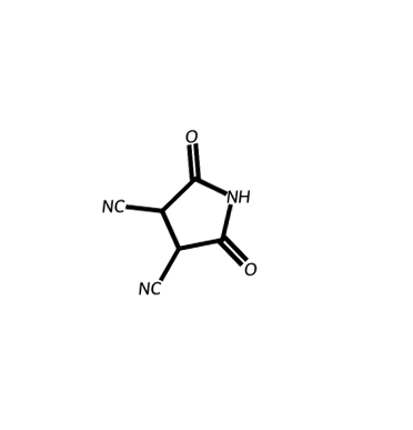 N#CC1C(=O)NC(=O)C1C#N